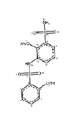 COc1ccccc1S(=O)(=O)Nc1cccc(S(N)(=O)=O)c1OC